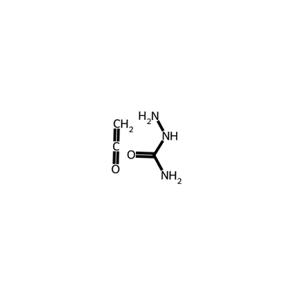 C=C=O.NNC(N)=O